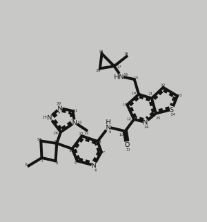 CC1CC(c2cncc(NC(=O)c3cc(CNC4(C)CC4)c4ccsc4n3)c2)(c2nncn2C)C1